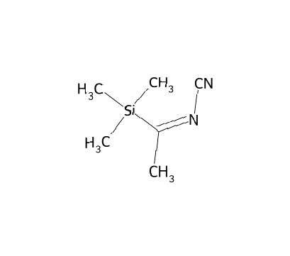 CC(=NC#N)[Si](C)(C)C